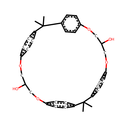 CC1(C)c2ccc(cc2)OCC(O)COc2ccc(cc2)C(C)(C)c2ccc(cc2)OCC(O)COc2ccc1cc2